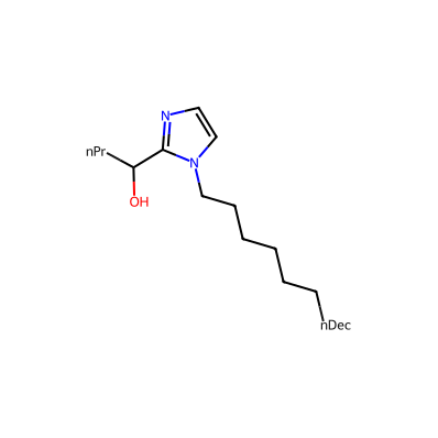 CCCCCCCCCCCCCCCCn1ccnc1C(O)CCC